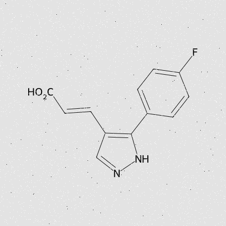 O=C(O)/C=C/c1cn[nH]c1-c1ccc(F)cc1